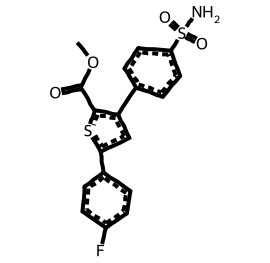 COC(=O)c1sc(-c2ccc(F)cc2)cc1-c1ccc(S(N)(=O)=O)cc1